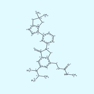 CNC(=O)OCc1nc(N(C)C(C)C)cc2c1CN(c1cccc(-c3nnc4n3CC(C)(C)C4)n1)C2=O